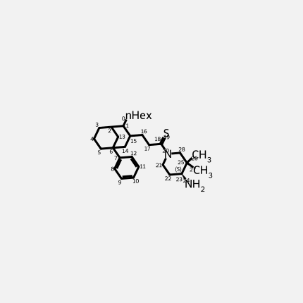 CCCCCCC1C2CCCC(c3ccccc3)(C2)CC1CCC(=S)N1CC[C@H](N)C(C)(C)C1